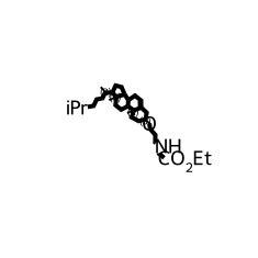 CCOC(=O)CNCCCO[C@H]1CC[C@@]2(C)C(=CCC3C4CCC([C@H](C)CCCC(C)C)[C@@]4(C)CCC32)C1